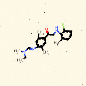 CCN(C)/C=N/c1cc(C)c(C(=O)CNc2c(C)cccc2F)cc1C